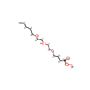 CCCCCOCCOCCOCCCC(=O)OC